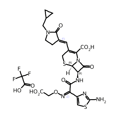 Nc1nc(/C(=N/OCC(=O)O)C(=O)N[C@@H]2C(=O)N3C(C(=O)O)=C(/C=C4\CCN(CC5CC5)C4=O)CS[C@H]23)cs1.O=C(O)C(F)(F)F